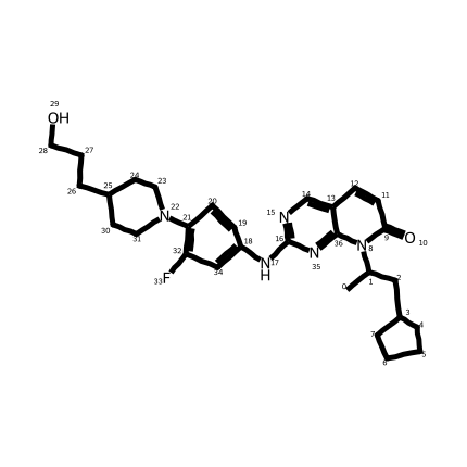 CC(CC1CCCC1)n1c(=O)ccc2cnc(Nc3ccc(N4CCC(CCCO)CC4)c(F)c3)nc21